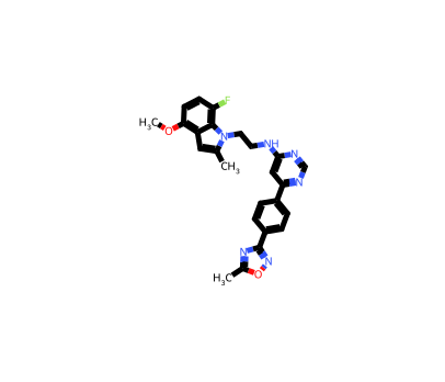 COc1ccc(F)c2c1cc(C)n2CCNc1cc(-c2ccc(-c3noc(C)n3)cc2)ncn1